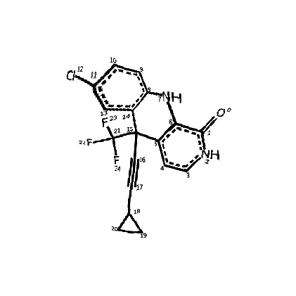 O=c1[nH]ccc2c1Nc1ccc(Cl)cc1C2(C#CC1CC1)C(F)(F)F